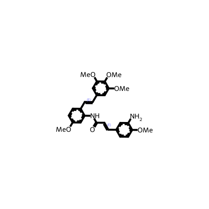 COc1ccc(/C=C/c2cc(OC)c(OC)c(OC)c2)c(NC(=O)/C=C/c2ccc(OC)c(N)c2)c1